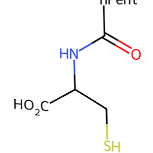 CCCCCC(=O)NC(CS)C(=O)O